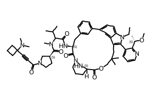 CCn1c(-c2cccnc2[C@H](C)OC)c2c3cc(ccc31)-c1cccc(c1)C[C@H](NC(=O)C(C(C)C)N(C)C(=O)[C@H]1CCN(C(=O)C#CC3(N(C)C)CCC3)C1)C(=O)N1CCC[C@H](N1)C(=O)OCC(C)(C)C2